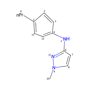 CCCc1ccc(Nc2ccn(C)n2)cc1